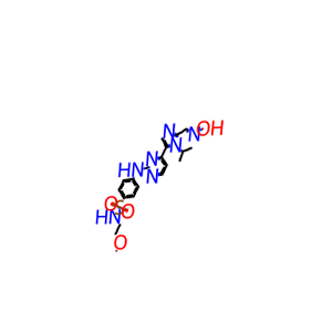 COCCNS(=O)(=O)c1ccc(Nc2nccc(-c3cnc(C=NO)n3C(C)C)n2)cc1